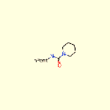 CCCCC[N]C(=O)N1CCCCC1